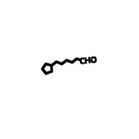 O=CCCCCCC1CCCC1